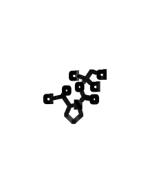 O=C(Cl)C1CCCN1C(=O)OC(Cl)(Cl)CCl